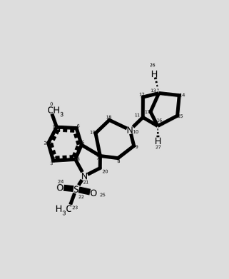 Cc1ccc2c(c1)C1(CCN(C3C[C@H]4CC[C@@H]3C4)CC1)CN2S(C)(=O)=O